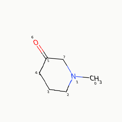 CN1CC[CH]C(=O)C1